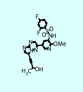 COc1ncc(-c2cnc3ncc(C#CC(C)O)n3n2)cc1NS(=O)(=O)c1ccc(F)cc1F